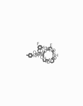 Cc1ccc(NC(=O)N[C@@H](Cc2cc(F)cc(F)c2)C(=O)NC2C(=O)N3CCC[C@H]3C(=O)N3CCCC[C@H]3C(=O)N[C@@H](C)C(=O)N3C[C@H](F)C[C@H]3C(=O)O[C@H]2C)cc1